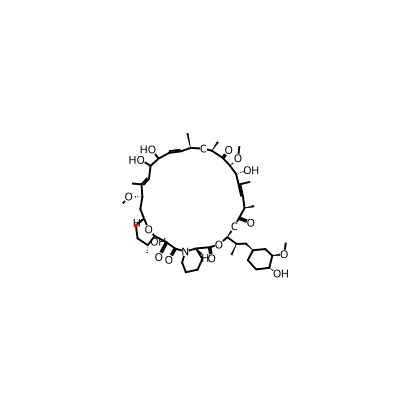 CO[C@H]1C[C@@H]2CC[C@@H](C)[C@@](O)(O2)C(=O)C(=O)N2CCCC[C@H]2C(=O)O[C@H]([C@H](C)C[C@@H]2CC[C@@H](O)[C@H](OC)C2)CC(=O)[C@H](C)/C=C(\C)[C@@H](O)[C@@H](OC)C(=O)[C@H](C)C[C@H](C)/C=C/C(O)C(O)/C=C/1C